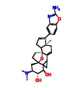 CN(C)[C@H]1C[C@@]23CC[C@@]4(O2)C(=CC[C@]2(C)C(c5ccc6oc(N)nc6c5)=CCC24)C2CC23[C@@H](O)[C@@H]1O